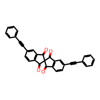 O=C1c2ccc(C#Cc3ccccc3)cc2C(=O)C12C(=O)c1ccc(C#Cc3ccccc3)cc1C2=O